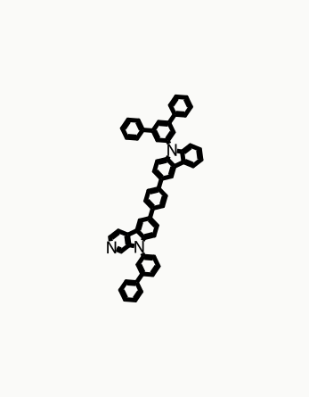 c1ccc(-c2cccc(-n3c4ccc(-c5ccc(-c6ccc7c(c6)c6ccccc6n7-c6cc(-c7ccccc7)cc(-c7ccccc7)c6)cc5)cc4c4ccncc43)c2)cc1